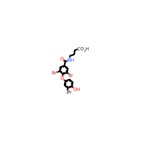 CC(C)c1cc(Oc2c(Br)cc(C(=O)NCCCC(=O)O)cc2Br)ccc1O